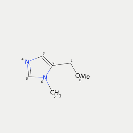 COCc1cncn1C